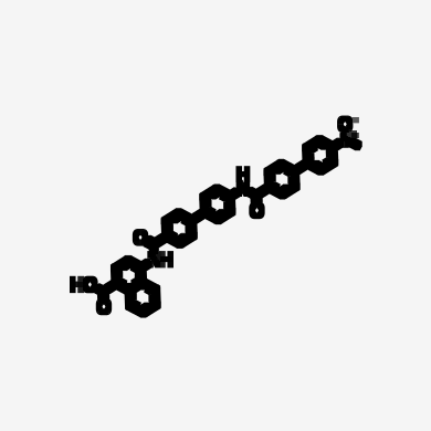 C[S+]([O-])c1ccc(-c2ccc(C(=O)Nc3ccc(-c4ccc(C(=O)Nc5ccc(C(=O)O)c6ccccc56)cc4)cc3)cc2)cc1